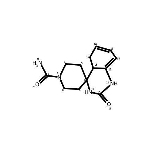 NC(=O)N1CCC2(CC1)NC(=O)NC1=CC=CCC12